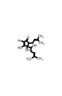 CC(=O)C1=C(O)C(O)(C(O)CC=C(C)C)C(CC=C(C)C)C1=O